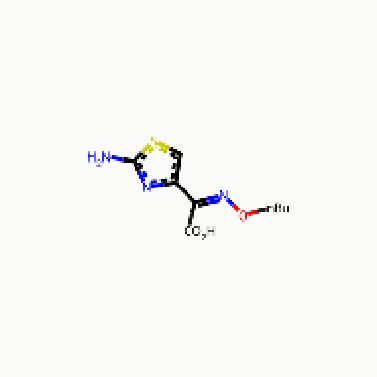 CCCCON=C(C(=O)O)c1csc(N)n1